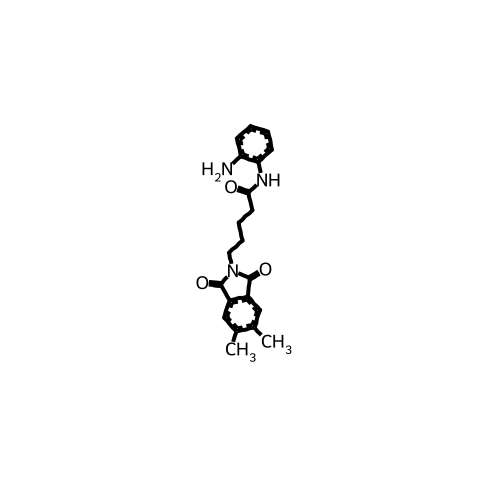 Cc1cc2c(cc1C)C(=O)N(CCCCC(=O)Nc1ccccc1N)C2=O